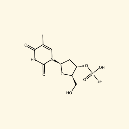 Cc1cn([C@H]2C[C@H](OP(=O)(O)S)[C@@H](CO)O2)c(=O)[nH]c1=O